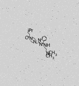 CC(C)CCC(=O)N1CCN(Cc2nc(NCCCN(C)C)c3ccccc3n2)CC1